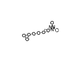 C1=CCC=CC(c2nc(-c3ccccc3)nc(-c3ccc4c(c3)Cc3cc(-c5ccc(-c6ccc(-c7ccc8c9ccccc9c9ccccc9c8c7)cc6)cc5)ccc3-4)n2)=C1